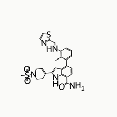 Cc1c(NCc2nccs2)cccc1-c1ccc(C(N)=O)c2[nH]c(C3=CCN(S(C)(=O)=O)CC3)cc12